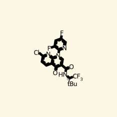 CC(C)(C)[C@H](NC(=O)c1cn(-c2ncc(F)cc2F)c2nc(Cl)ccc2c1=O)C(F)(F)F